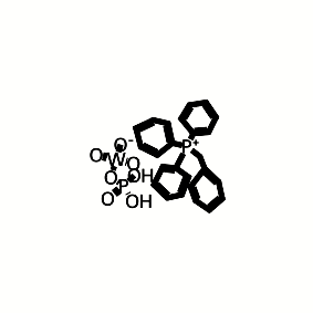 O=P(O)(O)[O][W](=[O])(=[O])[O-].c1ccc(C[P+](c2ccccc2)(c2ccccc2)c2ccccc2)cc1